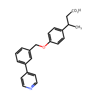 CC(CC(=O)O)c1ccc(OCc2cccc(-c3ccncc3)c2)cc1